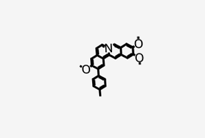 COc1cc2cc3c4cc(-c5ccc(C)cc5)c(OC)cc4cc[n+]3cc2cc1OC